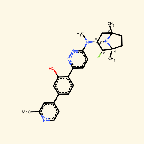 COc1cc(-c2ccc(-c3ccc(N(C)[C@H]4C[C@]5(C)CC[C@](C)([C@H]4F)N5C)nn3)c(O)c2)ccn1